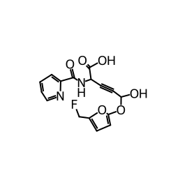 O=C(NC(C#CC(O)Oc1ccc(CF)o1)C(=O)O)c1ccccn1